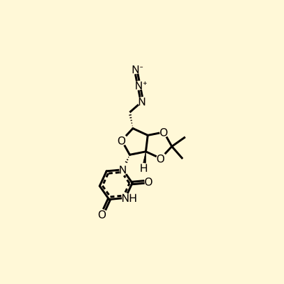 CC1(C)OC2[C@@H](CN=[N+]=[N-])O[C@@H](n3ccc(=O)[nH]c3=O)[C@H]2O1